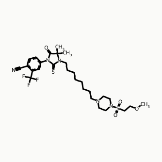 COCCS(=O)(=O)N1CCN(CCCCCCCCN2C(=S)N(c3ccc(C#N)c(C(F)(F)F)c3)C(=O)C2(C)C)CC1